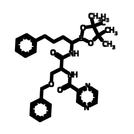 CC1(C)OB(C(CCCc2ccccc2)NC(=O)C(COCc2ccccc2)NC(=O)c2cnccn2)OC1(C)C